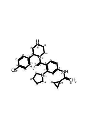 C=C(Nc1ccc(C(=C)N2CCNCC2c2ccc(Cl)cc2)c(N2CCCC2)c1)C1CC1